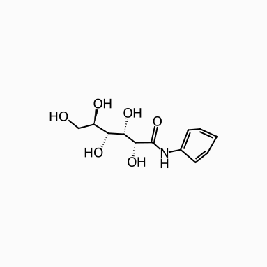 O=C(Nc1ccccc1)[C@H](O)[C@@H](O)[C@H](O)[C@H](O)CO